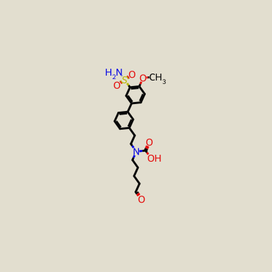 COc1ccc(-c2cccc(CCN(CCCCC=O)C(=O)O)c2)cc1S(N)(=O)=O